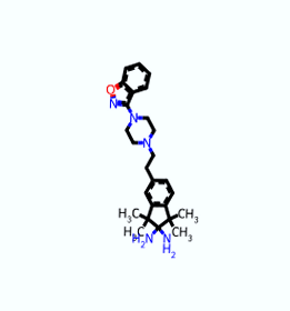 CC1(C)c2ccc(CCN3CCN(c4noc5ccccc45)CC3)cc2C(C)(C)C1(N)N